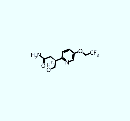 NC(=O)C[C@H](CO)c1ccc(OCC(F)(F)F)cn1